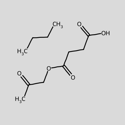 CC(=O)COC(=O)CCC(=O)O.CCCC